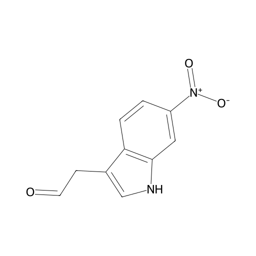 O=CCc1c[nH]c2cc([N+](=O)[O-])ccc12